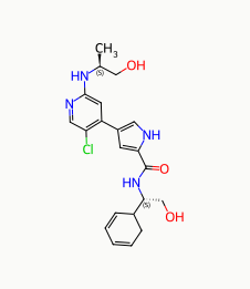 C[C@@H](CO)Nc1cc(-c2c[nH]c(C(=O)N[C@H](CO)C3C=CC=CC3)c2)c(Cl)cn1